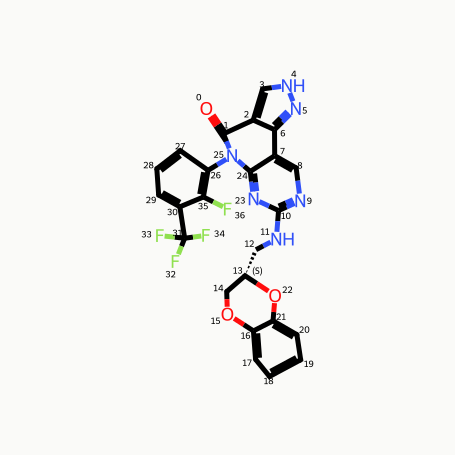 O=c1c2c[nH]nc2c2cnc(NC[C@H]3COc4ccccc4O3)nc2n1-c1cccc(C(F)(F)F)c1F